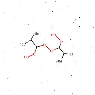 CCCCC(CC)C(OO)OOC(OO)C(CC)CCCC